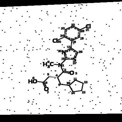 CN(C(=O)[C@@H](CC(=O)O)CC1CCCC1)c1nc(-c2cc(Cl)ccc2Cl)cs1